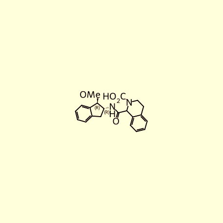 CO[C@@H]1c2ccccc2C[C@H]1NC(=O)C1c2ccccc2CCN1C(=O)O